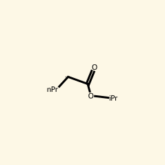 [CH2]CC[CH]C(=O)OC(C)C